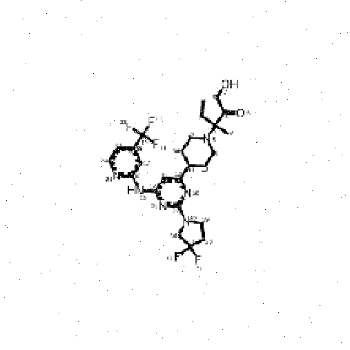 CCC(C)(C(=O)CO)N1CCC(c2cc(Nc3cc(C(F)(F)F)ccn3)nc(N3CCC(F)(F)C3)n2)CC1